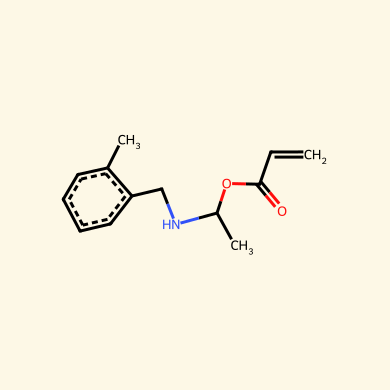 C=CC(=O)OC(C)NCc1ccccc1C